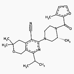 Cc1ccoc1C(=O)N1CCN(c2nc(C(C)C)c3c(c2C#N)CC(C)(C)OC3)C[C@H]1C